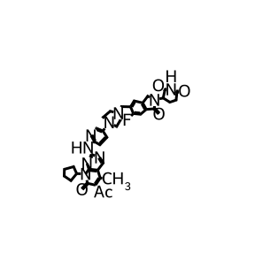 CC(=O)c1c(C)c2cnc(Nc3ccc(N4CCN(Cc5cc6c(cc5F)C(=O)N(C5CCC(=O)NC5=O)C6)CC4)cn3)nc2n(C2CCCC2)c1=O